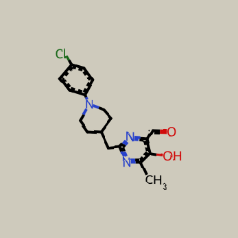 Cc1nc(CC2CCN(c3ccc(Cl)cc3)CC2)nc([C]=O)c1O